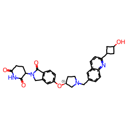 O=C1CCC(N2Cc3cc(O[C@H]4CCN(Cc5ccc6nc(C7CC(O)C7)ccc6c5)C4)ccc3C2=O)C(=O)N1